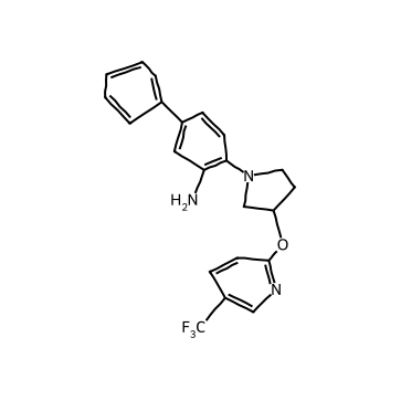 Nc1cc(-c2ccccc2)ccc1N1CCC(Oc2ccc(C(F)(F)F)cn2)C1